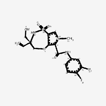 C=C[C@@]1(CO)COc2c(cn(C)c2C(=O)Nc2ccc(F)c(C(F)(F)F)c2)S(=O)(=O)N1